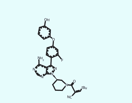 CC(C)(C)/C=C(/C#N)C(=O)N1CCC[C@@H](n2nc(-c3ccc(Oc4cccc(O)c4)cc3F)c3c(N)ncnc32)C1